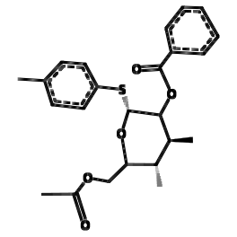 CC(=O)OCC1O[C@H](Sc2ccc(C)cc2)C(OC(=O)c2ccccc2)[C@@H](C)[C@@H]1C